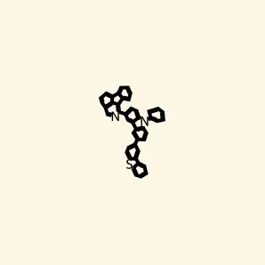 c1ccc(-n2c3ccc(-c4ccc5sc6ccccc6c5c4)cc3c3cc(-c4ncc5cccc6c5c4-c4ccccc4-6)ccc32)cc1